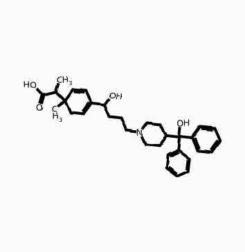 CC(C(=O)O)C1(C)C=CC(C(O)CCCN2CCC(C(O)(c3ccccc3)c3ccccc3)CC2)=CC1